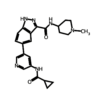 CN1CCC(NC(=O)c2n[nH]c3ccc(-c4cncc(NC(=O)C5CC5)c4)cc23)CC1